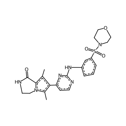 Cc1c(-c2ccnc(Nc3cccc(S(=O)(=O)N4CCOCC4)c3)n2)c(C)n2c1C(=O)NCC2